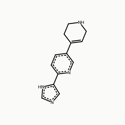 C1=C(c2ccc(-c3cnc[nH]3)nc2)CCNC1